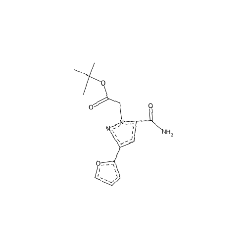 CC(C)(C)OC(=O)Cn1nc(-c2ccco2)cc1C(N)=O